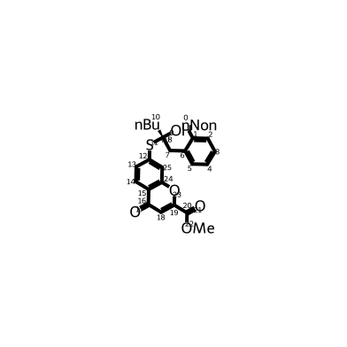 CCCCCCCCCc1ccccc1C[C@](O)(CCCC)Sc1ccc2c(=O)cc(C(=O)OC)oc2c1